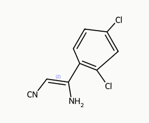 [C-]#[N+]/C=C(\N)c1ccc(Cl)cc1Cl